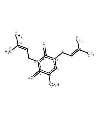 CC(C)=CCn1cc(C(=O)O)c(=O)n(CC=C(C)C)c1=O